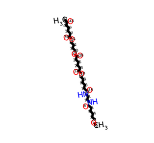 COCCCCCC(=O)NCCNC(=O)CCCCCOC(=O)CCCCC(=O)OCCCCOC(=O)CCCCC(C)=O